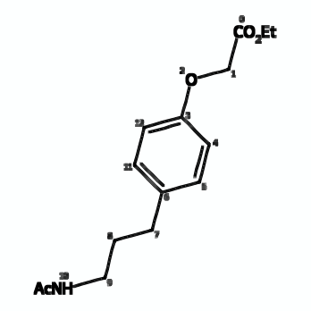 CCOC(=O)COc1ccc(CCCNC(C)=O)cc1